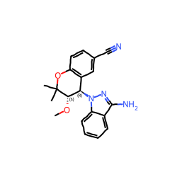 CO[C@H]1[C@H](n2nc(N)c3ccccc32)c2cc(C#N)ccc2OC1(C)C